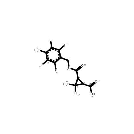 Cc1c(F)c(F)c(COC(=O)C2C(C(=O)O)C2(C)C)c(F)c1F